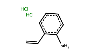 C=Cc1ccccc1[SiH3].Cl.Cl